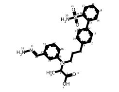 CC(C(=O)O)N(CCCc1ccc(-c2ccccc2S(N)(=O)=O)cc1)c1cccc(C=NN)c1